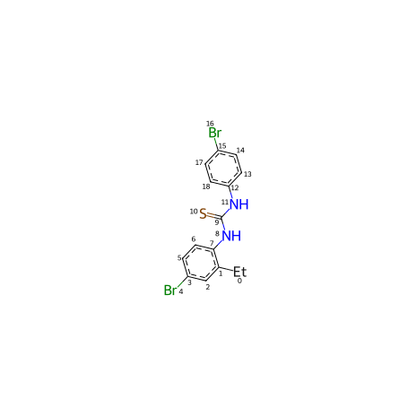 CCc1cc(Br)ccc1NC(=S)Nc1ccc(Br)cc1